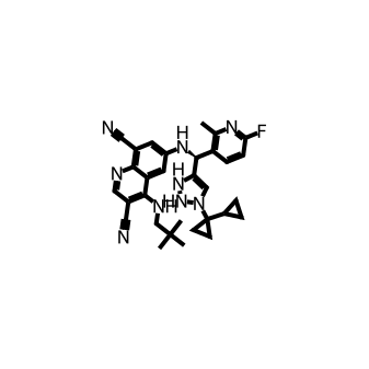 Cc1nc(F)ccc1[C@H](Nc1cc(C#N)c2ncc(C#N)c(NCC(C)(C)C)c2c1)C1=CN(C2(C3CC3)CC2)NN1